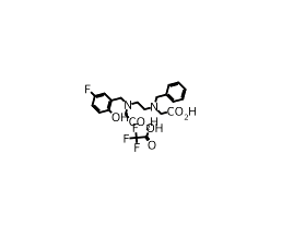 O=C(O)C(F)(F)F.O=C(O)CN(CCN(CC(=O)O)Cc1cc(F)ccc1O)Cc1ccccc1